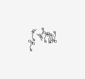 CCO[Si](C)(C)CCCC#N.CCO[Si](C)(CCCC#N)OCC.C[Si](Cl)(Cl)CCCC#N.C[Si](Cl)(Cl)CCCC#N.C[Si](Cl)(Cl)CCCC#N.N#CCCC[Si](Cl)(Cl)Cl